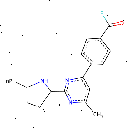 CCCC1CCC(c2nc(C)cc(-c3ccc(C(=O)F)cc3)n2)N1